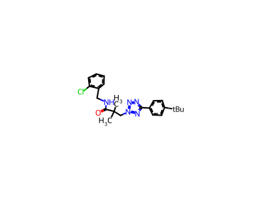 CC(C)(Cn1nnc(-c2ccc(C(C)(C)C)cc2)n1)C(=O)NCc1ccccc1Cl